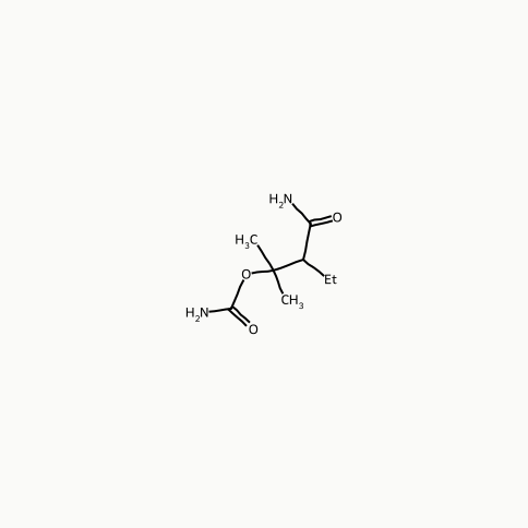 CCC(C(N)=O)C(C)(C)OC(N)=O